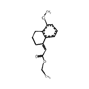 CCOC(=O)/C=C1\CCCc2c(OC)cccc21